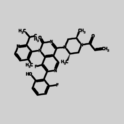 C=CC(=O)N1C[C@H](C)N(c2nc(=O)n(-c3c(C)ccnc3C(C)C)c3c(F)c(-c4c(O)cccc4F)ncc23)C[C@H]1C